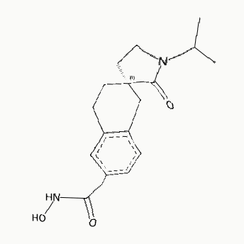 CC(C)N1CC[C@]2(CCc3cc(C(=O)NO)ccc3C2)C1=O